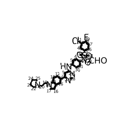 O=CON(c1ccc(Nc2cc(-c3ccc4c(ccn4CCN4CCCC4)c3)ncn2)cc1)S(=O)(=O)c1ccc(F)c(Cl)c1